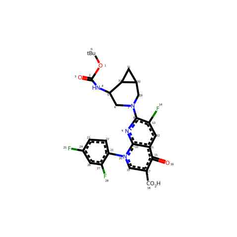 CC(C)(C)OC(=O)NC1CN(c2nc3c(cc2F)c(=O)c(C(=O)O)cn3-c2ccc(F)cc2F)CC2CC21